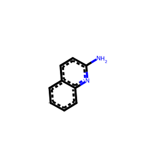 Nc1ccc2c[c]ccc2n1